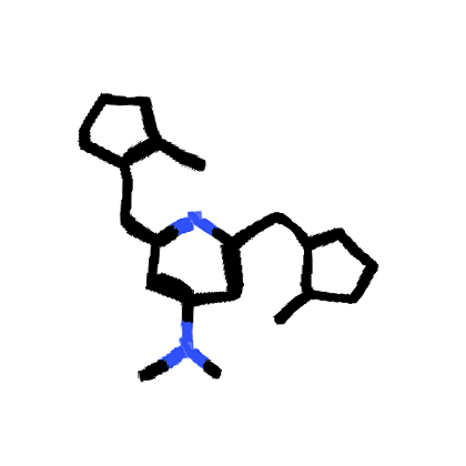 CC1CCCC1Cc1cc(N(C)C)cc(CC2CCCC2C)n1